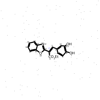 CCOC(=O)/C(=C\c1ccc(O)c(O)c1)c1nc2ccccc2o1